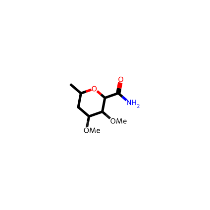 COC1CC(C)OC(C(N)=O)C1OC